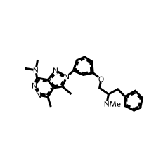 CNC(COc1cccc(-n2nc3c(N(C)C)nnc(C)c3c2C)c1)Cc1ccccc1